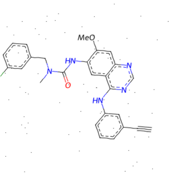 C#Cc1cccc(Nc2ncnc3cc(OC)c(NC(=O)N(C)Cc4cccc(F)c4)cc23)c1